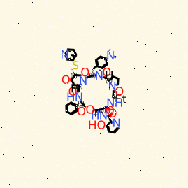 CCC1NC(=O)[C@@H](NC(=O)c2ncccc2O)[C@@H](C)OC(=O)[C@H](c2ccccc2)NC(=O)[C@@H]2CC(=O)[C@H](CSC3CN4CCC3CC4)CN2C(=O)[C@H](Cc2ccc(N(C)C)cc2)N(C)C(=O)[C@@H]2CCCN2C1=O